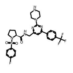 O=C(NCc1cc(-c2ccc(C(F)(F)F)cc2)nc(N2CCNCC2)n1)[C@@H]1CCCN1S(=O)(=O)c1ccc(F)cc1